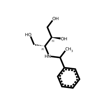 CC(N[C@H](CO)[C@H](O)CO)c1ccccc1